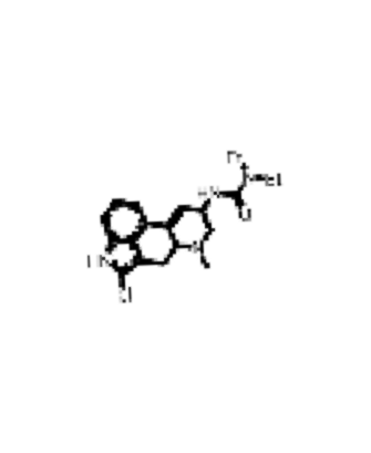 CCN(CC)C(=O)NC1C=C2c3cccc4[nH]c(Cl)c(c34)CC2N(C)C1